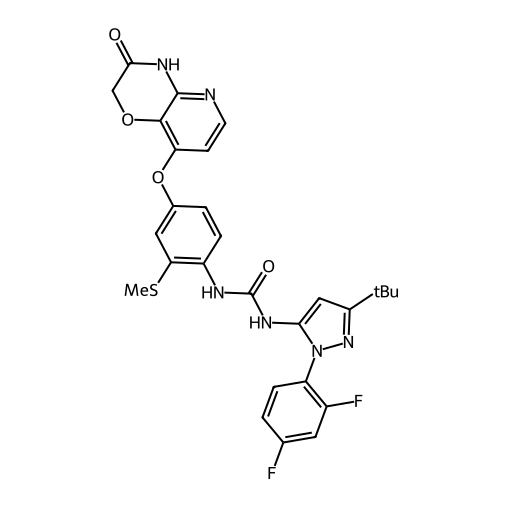 CSc1cc(Oc2ccnc3c2OCC(=O)N3)ccc1NC(=O)Nc1cc(C(C)(C)C)nn1-c1ccc(F)cc1F